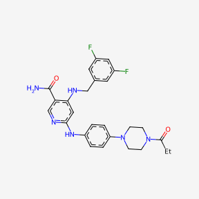 CCC(=O)N1CCN(c2ccc(Nc3cc(NCc4cc(F)cc(F)c4)c(C(N)=O)cn3)cc2)CC1